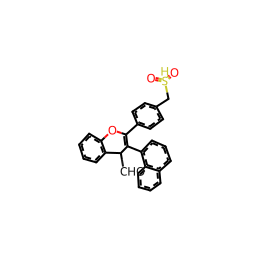 O=CC1C(c2cccc3ccccc23)=C(c2ccc(C[SH](=O)=O)cc2)Oc2ccccc21